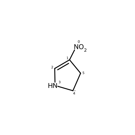 O=[N+]([O-])C1=CN[CH]C1